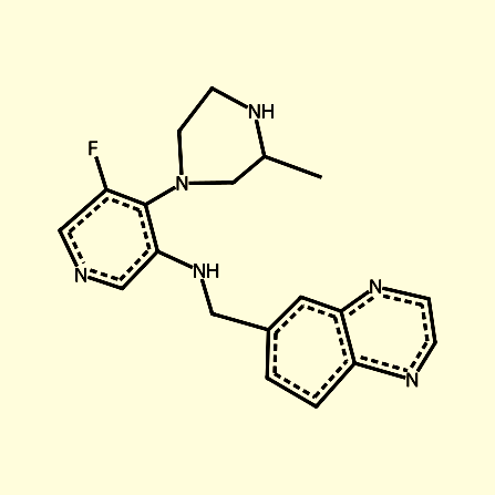 CC1CN(c2c(F)cncc2NCc2ccc3nccnc3c2)CCN1